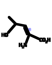 CC(O)/C=C(\N)C(=O)O